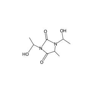 CC(O)N1C(=O)C(C)N(C(C)O)C1=O